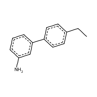 CCc1ccc(-c2cccc(N)c2)cc1